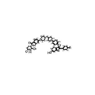 O=C1CCC(N2Cc3cc(N4CCN(CC5CCN(c6ccc(Oc7c(-c8ccc(F)cc8)sc8cc(O)ccc78)cn6)CC5)CC4)ccc3C2=O)C(=O)N1